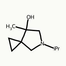 CC(C)N1CC(C)(O)C2(CC2)C1